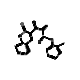 C=C(C(=O)Oc1ccccc1C)C(=O)c1cc2ccccc2oc1=O